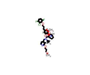 COCCCOc1nccc(CN(C(=O)C2=C(c3ccc(CCCOc4c(F)ccc(F)c4Cl)cc3)C[C@@H]3CCC2N3C(=O)OC(C)(C)C)C2CC2)c1C